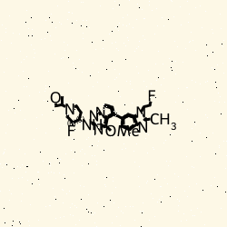 COc1nc(N[C@H]2CCN(C3COC3)C[C@H]2F)nn2ccc(-c3ccc4nc(C)n(CCF)c4c3)c12